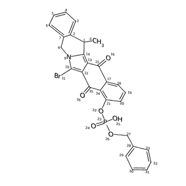 CC1c2ccccc2Cn2c(Br)c3c(c21)C(=O)c1cccc(OP(=O)(O)OCc2ccccc2)c1C3=O